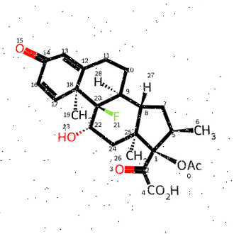 CC(=O)O[C@]1(C(=O)C(=O)O)[C@H](C)C[C@H]2[C@@H]3CCC4=CC(=O)C=C[C@]4(C)[C@@]3(F)[C@@H](O)C[C@@]21C